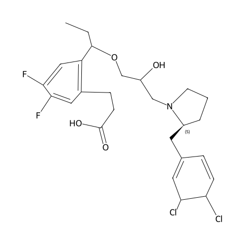 CCC(OCC(O)CN1CCC[C@H]1CC1=CC(Cl)C(Cl)C=C1)c1cc(F)c(F)cc1CCC(=O)O